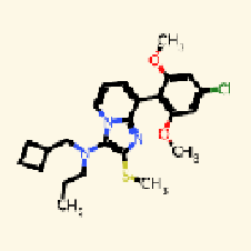 CCCN(CC1CCC1)c1c(SC)nc2c(-c3c(OC)cc(Cl)cc3OC)cccn12